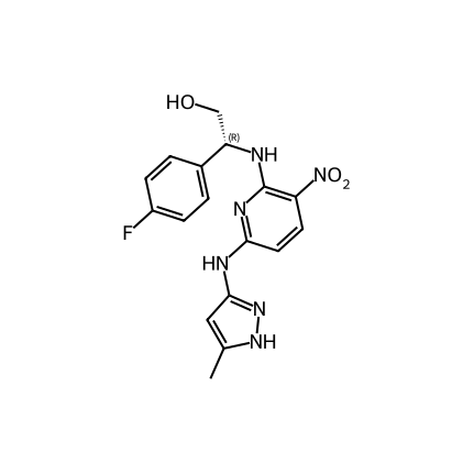 Cc1cc(Nc2ccc([N+](=O)[O-])c(N[C@@H](CO)c3ccc(F)cc3)n2)n[nH]1